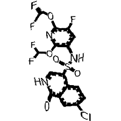 O=c1[nH]cc(S(=O)(=O)Nc2cc(F)c(OC(F)F)nc2OC(F)F)c2ccc(Cl)cc12